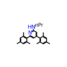 CCCNc1cc(-c2c(C)cc(C)cc2C)cc(-c2c(C)cc(C)cc2C)n1